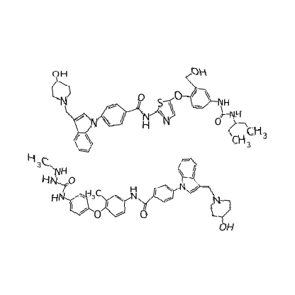 CCC(CC)NC(=O)Nc1ccc(Oc2cnc(NC(=O)c3ccc(-n4cc(CN5CCC(O)CC5)c5ccccc54)cc3)s2)c(CO)c1.CNNC(=O)Nc1ccc(Oc2ccc(NC(=O)c3ccc(-n4cc(CN5CCC(O)CC5)c5ccccc54)cc3)cc2C)cc1